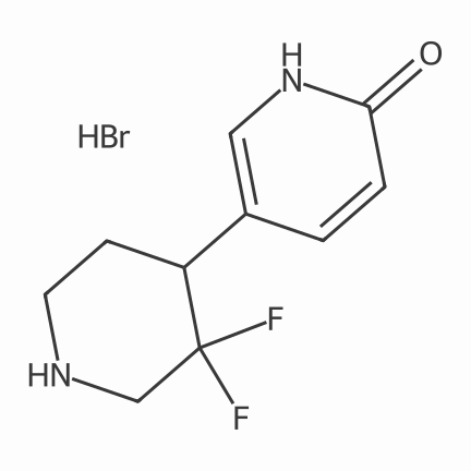 Br.O=c1ccc(C2CCNCC2(F)F)c[nH]1